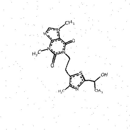 Cc1nc(C(C)O)sc1CCn1c(=O)c2c(ncn2C)n(C)c1=O